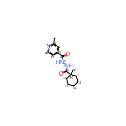 Cc1cc(C(=O)NNC(=O)C2(C)CCCCC2)ccn1